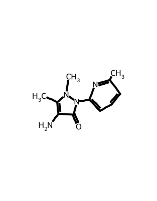 Cc1cccc(-n2c(=O)c(N)c(C)n2C)n1